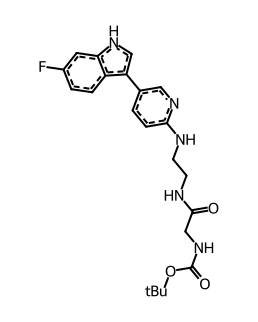 CC(C)(C)OC(=O)NCC(=O)NCCNc1ccc(-c2c[nH]c3cc(F)ccc23)cn1